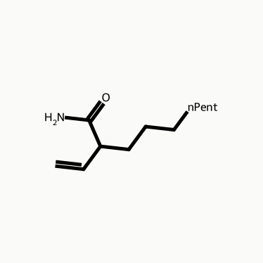 C=CC(CCCCCCCC)C(N)=O